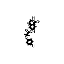 CC(C)(Oc1ccc(Cl)cc1)C(=O)Nc1ccc2c(=O)[nH]ccc2c1